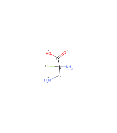 NCC(N)(F)C(=O)O